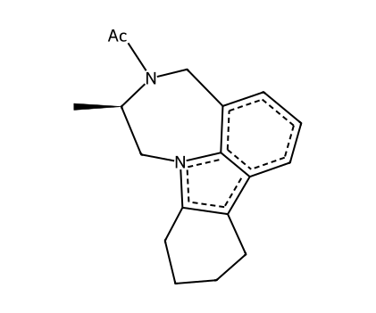 CC(=O)N1Cc2cccc3c4c(n(c23)C[C@H]1C)CCCC4